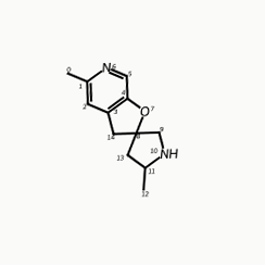 Cc1cc2c(cn1)OC1(CNC(C)C1)C2